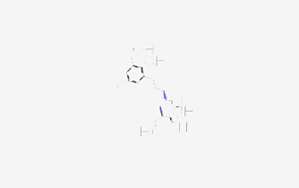 C=C(O)/C(=C\C(C)=C/CCc1cc(C)cc(CO)c1O)CO